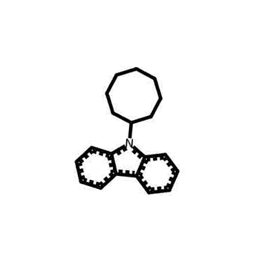 c1ccc2c(c1)c1ccccc1n2C1CCCCCCC1